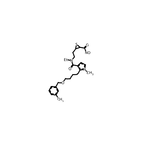 CCN(CCC1SC1C(=O)N=O)C(=O)c1ccn(C)c1CCCCOCc1cccc(C)c1